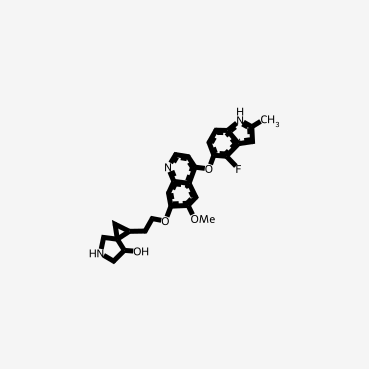 COc1cc2c(Oc3ccc4[nH]c(C)cc4c3F)ccnc2cc1OCCC1CC12CNCC2O